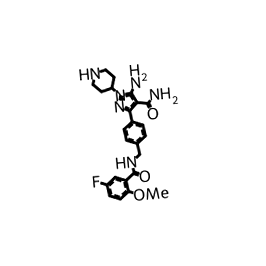 COc1ccc(F)cc1C(=O)NCc1ccc(-c2nn(C3CCNCC3)c(N)c2C(N)=O)cc1